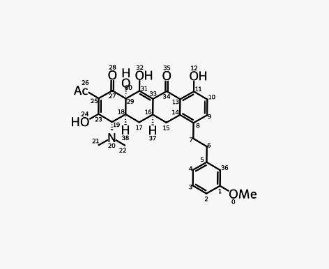 COc1cccc(CCc2ccc(O)c3c2C[C@H]2C[C@H]4[C@H](N(C)C)C(O)=C(C(C)=O)C(=O)[C@@]4(O)C(O)=C2C3=O)c1